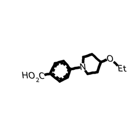 CCOC1CCN(c2ccc(C(=O)O)cc2)CC1